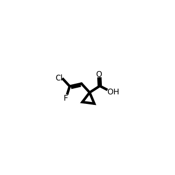 O=C(O)C1(/C=C(\F)Cl)CC1